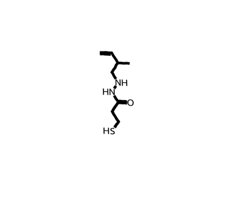 C=CC(C)CNNC(=O)CCS